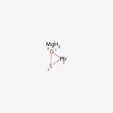 [MgH2].[O]1[S][Pb]1